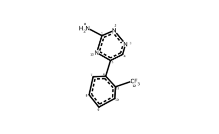 Nc1nncc(-c2ccccc2C(F)(F)F)n1